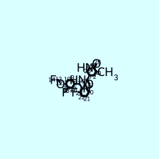 Cc1cc(C(=O)N[C@@H](c2ccc(OCF)c(F)c2)c2ncccc2F)c[nH]c1=O